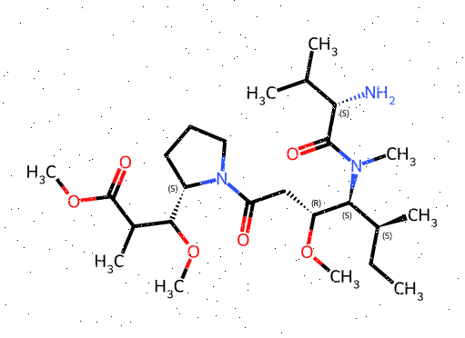 CC[C@H](C)[C@@H]([C@@H](CC(=O)N1CCC[C@H]1C(OC)C(C)C(=O)OC)OC)N(C)C(=O)[C@@H](N)C(C)C